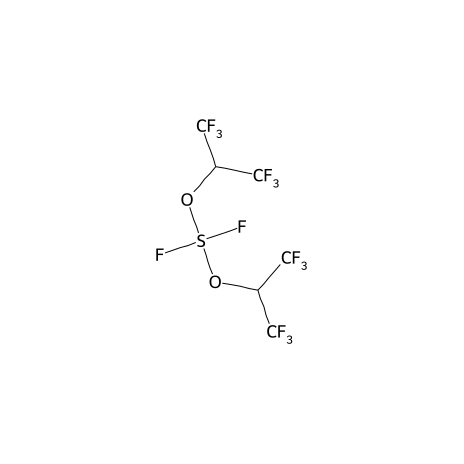 FC(F)(F)C(OS(F)(F)OC(C(F)(F)F)C(F)(F)F)C(F)(F)F